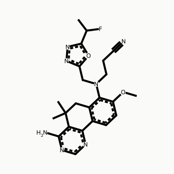 COc1ccc2c(c1N(CCC#N)Cc1nnc(C(C)F)o1)CC(C)(C)c1c(N)ncnc1-2